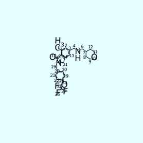 Cc1cc(CNCC2CCOCC2)cc2c1C(=O)N(Cc1ccc(OC(F)(F)F)cc1)C2